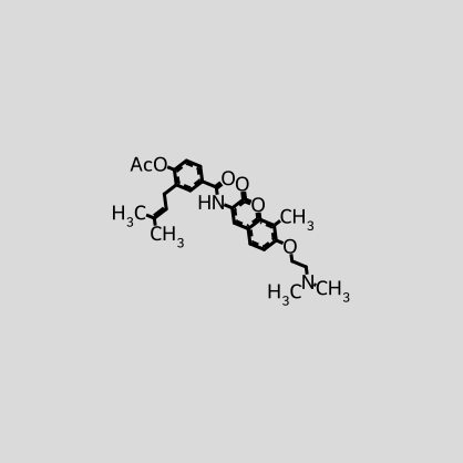 CC(=O)Oc1ccc(C(=O)Nc2cc3ccc(OCCN(C)C)c(C)c3oc2=O)cc1CC=C(C)C